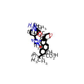 CC(C)[C@@H](C)[C@@]1(C)CC[C@]2(C)[C@H]3CC[C@@H]4[C@@]5(COC[C@@]4(C)[C@@H](OC[C@](C)(N)C(C)(C)C)[C@H](n4ncnc4C4CCN(C)CC4)C5)C3=CC[C@@]2(C)[C@@H]1C(=O)O